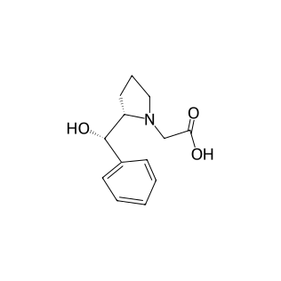 O=C(O)CN1CCC[C@H]1[C@@H](O)c1ccccc1